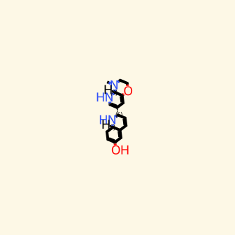 CN1CCOC2=CC([C@@H]3C=CC4=CC(O)=CC[C@@H]4N3)=CN[C@@H]21